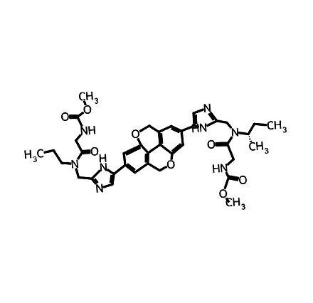 CCCN(Cc1ncc(-c2cc3c4c(c2)OCc2cc(-c5cnc(CN(C(=O)CNC(=O)OC)[C@@H](C)CC)[nH]5)cc(c2-4)OC3)[nH]1)C(=O)CNC(=O)OC